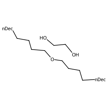 CCCCCCCCCCCCCCOCCCCCCCCCCCCCC.OCCO